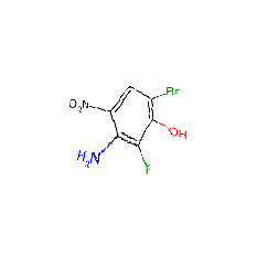 Nc1c([N+](=O)[O-])cc(Br)c(O)c1F